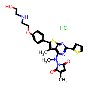 CC1=CC(=O)N(N(C)c2nc(-c3cccs3)nc3sc(-c4ccc(OCCNCCO)cc4)c(C)c23)C1=O.Cl